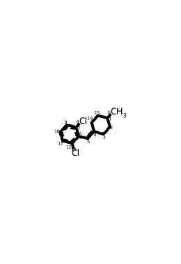 CC1CCC(=Cc2c(Cl)cccc2Cl)CC1